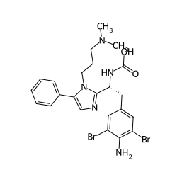 CN(C)CCCn1c(-c2ccccc2)cnc1[C@@H](Cc1cc(Br)c(N)c(Br)c1)NC(=O)O